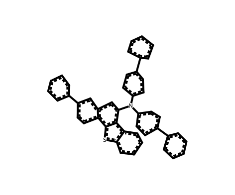 c1ccc(-c2ccc(N(c3ccc(-c4ccccc4)cc3)c3cc4cc(-c5ccccc5)ccc4c4sc5ccccc5c34)cc2)cc1